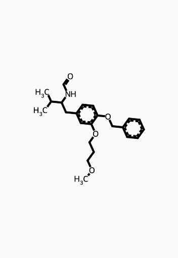 COCCCOc1cc(CC(NC=O)C(C)C)ccc1OCc1ccccc1